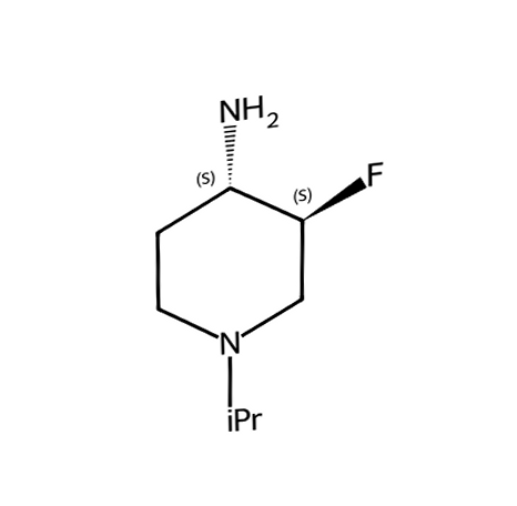 CC(C)N1CC[C@H](N)[C@@H](F)C1